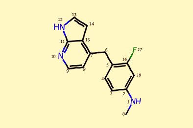 CNc1ccc(Cc2ccnc3[nH]ccc23)c(F)c1